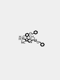 Cc1ccc(OCc2ccccc2)c(C)c1-n1c(N)c(C#N)c2cnc(NCCOCc3ccccc3)nc21